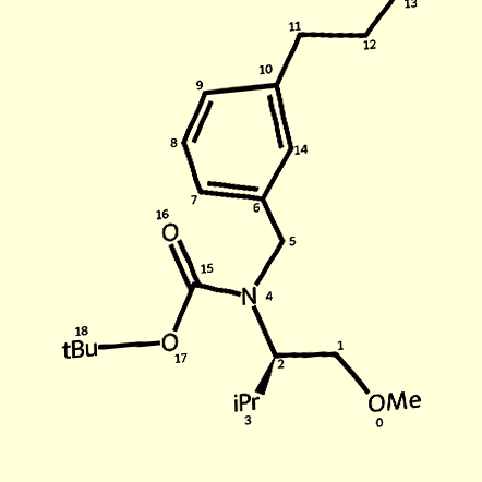 COC[C@@H](C(C)C)N(Cc1cccc(CCO)c1)C(=O)OC(C)(C)C